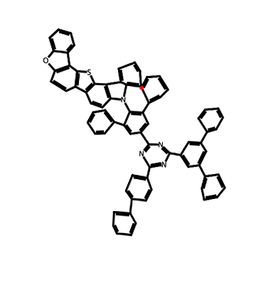 c1ccc(-c2ccc(-c3nc(-c4cc(-c5ccccc5)cc(-c5ccccc5)c4)nc(-c4cc(-c5ccccc5)c(-n5c6ccccc6c6c7sc8c(ccc9oc%10ccccc%10c98)c7ccc65)c(-c5ccccc5)c4)n3)cc2)cc1